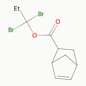 CCC(Br)(Br)OC(=O)C1CC2C=CC1C2